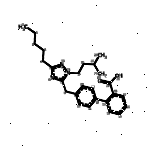 CCCCCc1nc(Cc2ccc(-c3ccccc3C(=O)O)cc2)n(CCC(C)C)n1